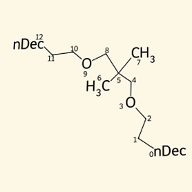 CCCCCCCCCCCCOCC(C)(C)COCCCCCCCCCCCC